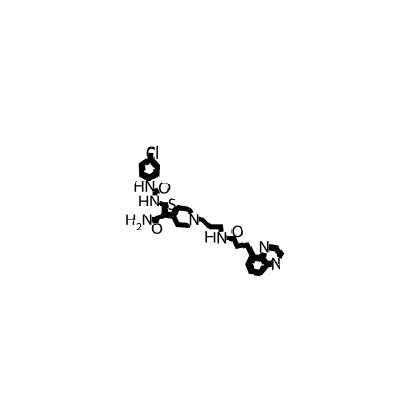 NC(=O)c1c(NC(=O)Nc2ccc(Cl)cc2)sc2c1CCN(CCCNC(=O)CCc1cccc3nccnc13)C2